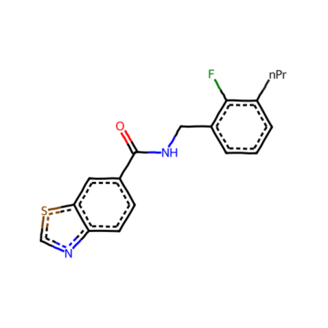 CCCc1cccc(CNC(=O)c2ccc3ncsc3c2)c1F